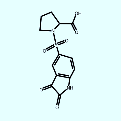 O=C1Nc2ccc(S(=O)(=O)N3CCCC3C(=O)O)cc2C1=O